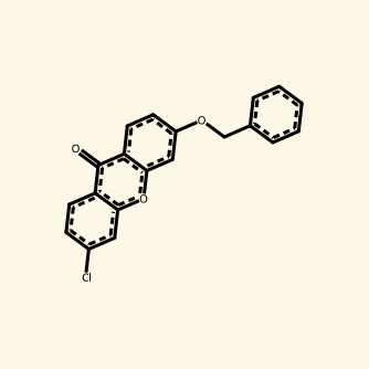 O=c1c2ccc(Cl)cc2oc2cc(OCc3ccccc3)ccc12